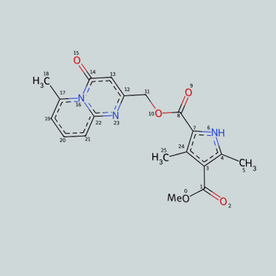 COC(=O)c1c(C)[nH]c(C(=O)OCc2cc(=O)n3c(C)cccc3n2)c1C